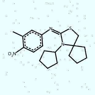 Cc1cc(/N=C2/SCC3(CCCC3)N2C2CCCC2)ccc1[N+](=O)[O-]